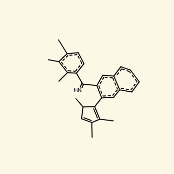 CC1=CC(C)C(c2cc3ccccc3cc2C(=N)c2ccc(C)c(C)c2C)=C1C